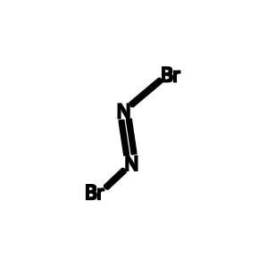 BrN=NBr